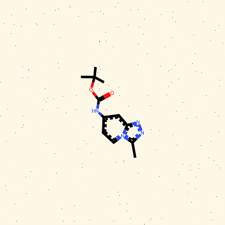 Cc1nnc2cc(NC(=O)OC(C)(C)C)ccn12